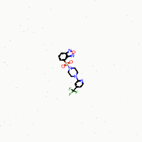 O=S(=O)(c1cccc2nonc12)N1CCN(c2cc(C(F)(F)F)ccn2)CC1